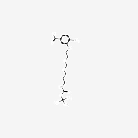 CC(C)(C)OC(=O)NCCCOCOCCNc1cc(C(=O)O)ccc1N